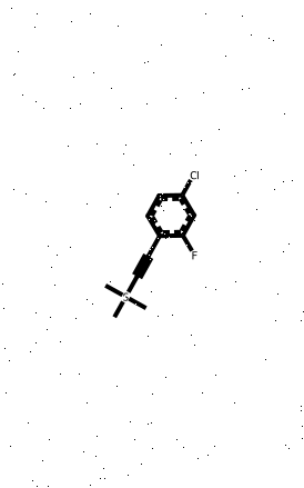 CS(C)(C)C#Cc1ccc(Cl)cc1F